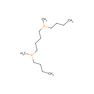 CCCCP(C)CCCCP(C)CCCC